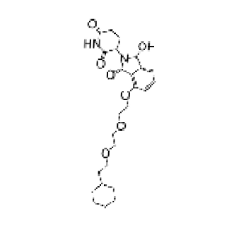 O=C1CCC(N2C(=O)c3c(OCCOCCOCCC4CCCCC4)cccc3C2O)C(=O)N1